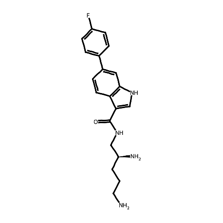 NCCC[C@H](N)CNC(=O)c1c[nH]c2cc(-c3ccc(F)cc3)ccc12